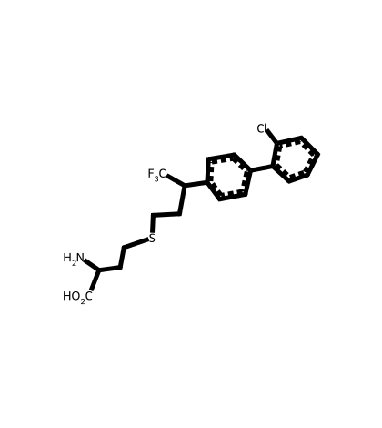 NC(CCSCCC(c1ccc(-c2ccccc2Cl)cc1)C(F)(F)F)C(=O)O